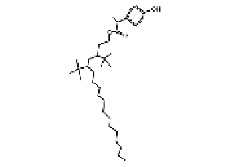 CCCCCCCCCCCCCC(CC(CCOC(=O)C(C)c1ccc(O)cc1)C(C)(C)C)C(C)(C)C